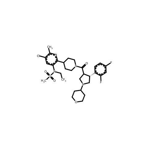 Cc1nc(C2CCN(C(=O)C3CN(C4CCOCC4)C[C@H]3c3ccc(F)cc3F)CC2)c(N(CC(F)(F)F)S(C)(=O)=O)cc1Cl